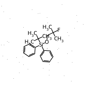 CC(C)(F)CO[Si](c1ccccc1)(c1ccccc1)C(C)(C)C